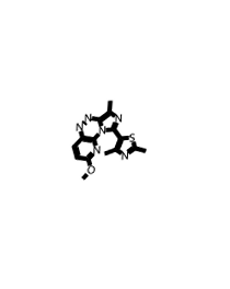 COc1ccc2nnc3c(C)nc(-c4sc(C)nc4C)n3c2n1